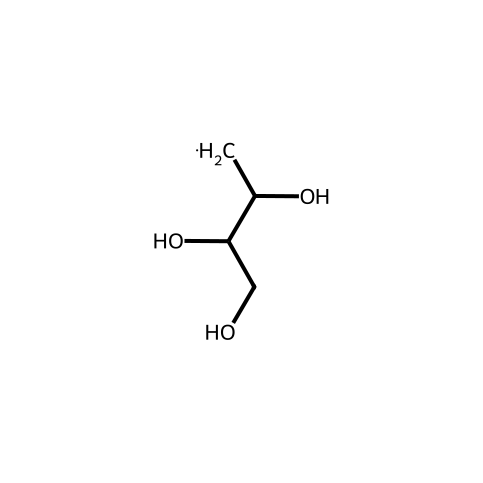 [CH2]C(O)C(O)CO